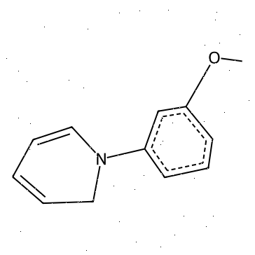 COc1cccc(N2C=CC=CC2)c1